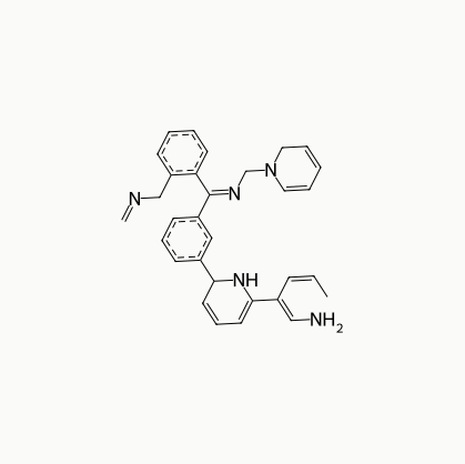 C=NCc1ccccc1/C(=N\CN1C=CC=CC1)c1cccc(C2C=CC=C(C(/C=C\C)=C/N)N2)c1